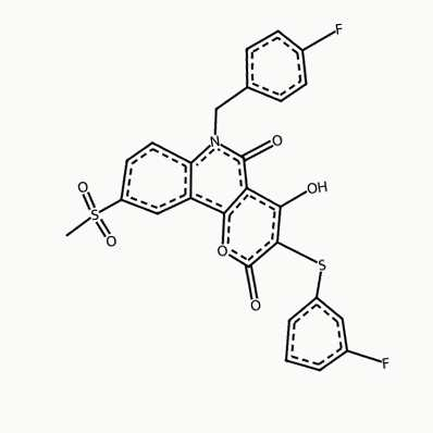 CS(=O)(=O)c1ccc2c(c1)c1oc(=O)c(Sc3cccc(F)c3)c(O)c1c(=O)n2Cc1ccc(F)cc1